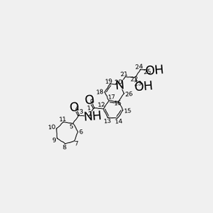 O=C(NC(=O)C1CCCCCC1)c1cccc2c1C=CN(CC(O)CO)C2